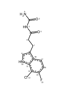 NC(=O)NC(=O)CCc1c[nH]c2c(Cl)c(F)ccc12